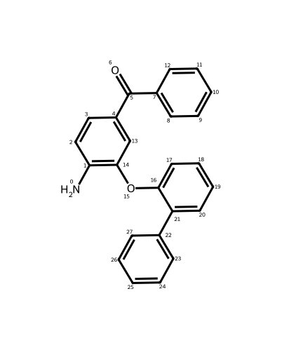 Nc1ccc(C(=O)c2ccccc2)cc1Oc1ccccc1-c1ccccc1